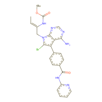 CC=C(Cn1c(Br)c(-c2ccc(C(=O)Nc3ccccn3)cc2)c2c(N)ncnc21)NC(=O)OC(C)(C)C